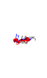 COC(=O)[C@H](Cc1c[nH]c2ccccc12)NC(=O)CC1CCN(c2ccc(NC(=O)c3cccc(C)c3-c3ccc(C(F)(F)F)cc3)cc2)CC1